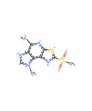 Cc1nc2sc(S(C)(=O)=O)nc2c2c1ncn2C